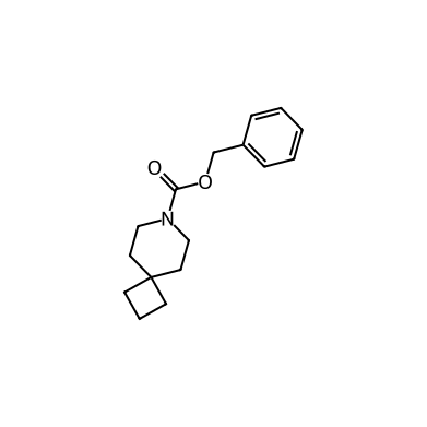 O=C(OCc1ccccc1)N1CCC2(CCC2)CC1